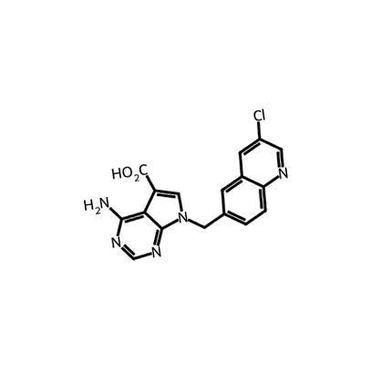 Nc1ncnc2c1c(C(=O)O)cn2Cc1ccc2ncc(Cl)cc2c1